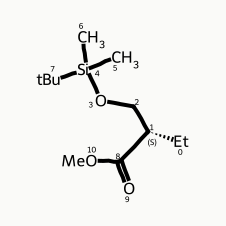 CC[C@@H](CO[Si](C)(C)C(C)(C)C)C(=O)OC